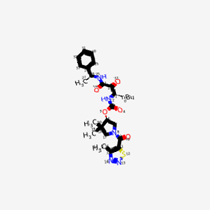 CCCC[C@H](NC(=O)O[C@@H]1CN(C(=O)c2snnc2C)CC1(C)C)C(=O)C(=O)N[C@H](C)c1ccccc1